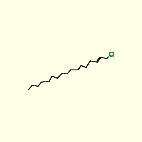 CCCCCCCCCCCCCCC=CCCl